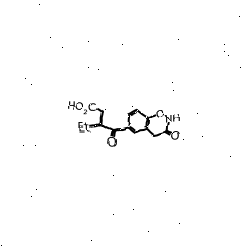 CCC(CC(=O)O)C(=O)c1ccc2c(c1)CC(=O)NO2